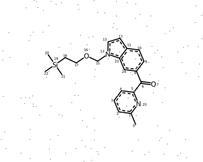 Cc1cccc(C(=O)c2ccc3ccn(COCC[Si](C)(C)C)c3c2)n1